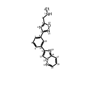 CCNCc1nc(-c2cccc(-c3cn4ncccc4n3)c2)no1